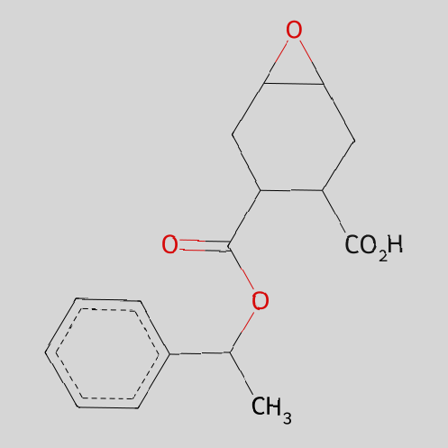 CC(OC(=O)C1CC2OC2CC1C(=O)O)c1ccccc1